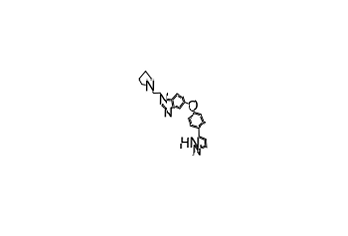 c1cc(-c2ccc(Oc3ccc4c(c3)ncn4CCN3CCCC3)cc2)[nH]n1